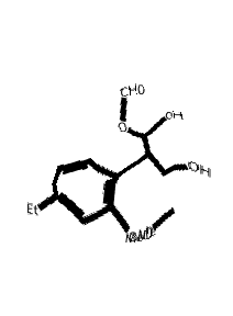 CCc1ccc(C(CO)C(O)OC=O)c(OC)c1.COC